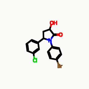 O=C1C(O)CC(c2cccc(Cl)c2)N1c1ccc(Br)cc1